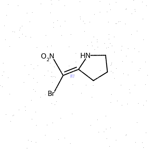 O=[N+]([O-])/C(Br)=C1/CCCN1